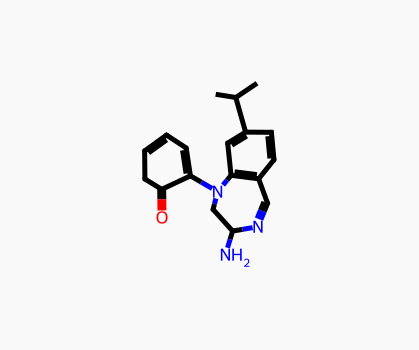 CC(C)c1ccc2c(c1)N(C1=CC=CCC1=O)CC(N)N=C2